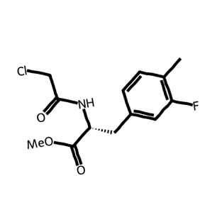 COC(=O)[C@@H](Cc1ccc(C)c(F)c1)NC(=O)CCl